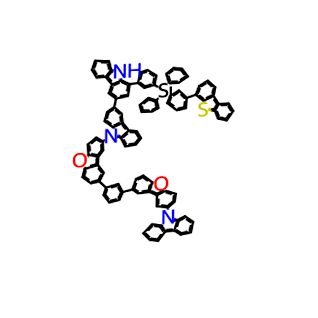 c1ccc([Si](c2ccccc2)(c2cccc(-c3cc(-c4ccc5c(c4)c4ccccc4n5-c4ccc5oc6ccc(-c7cccc(-c8ccc9oc%10ccc(-n%11c%12ccccc%12c%12ccccc%12%11)cc%10c9c8)c7)cc6c5c4)cc4c3[nH]c3ccccc34)c2)c2cccc(-c3cccc4c3sc3ccccc34)c2)cc1